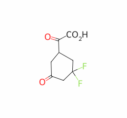 O=C1CC(C(=O)C(=O)O)CC(F)(F)C1